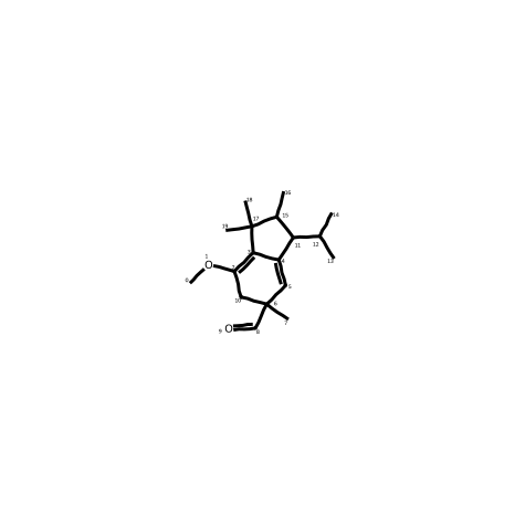 COC1=C2C(=CC(C)(C=O)C1)C(C(C)C)C(C)C2(C)C